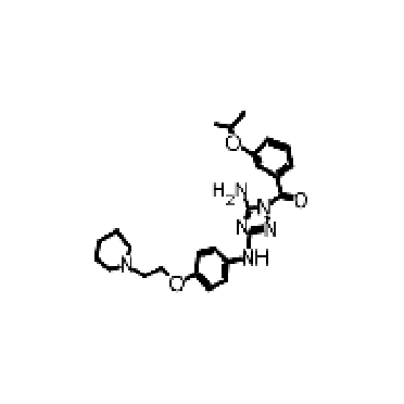 CC(C)Oc1cccc(C(=O)n2nc(Nc3ccc(OCCN4CCCCC4)cc3)nc2N)c1